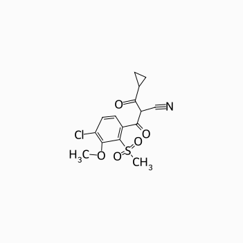 COc1c(Cl)ccc(C(=O)C(C#N)C(=O)C2CC2)c1S(C)(=O)=O